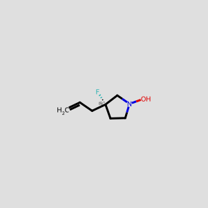 C=CC[C@]1(F)CCN(O)C1